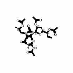 CC[C@H](OC(C)=O)[C@@H]1C[C@@H](OC(C)=O)[C@H](n2c(=O)n(C[C@@H](C)OC(C)=O)c3c(=O)[nH]c(NC(C)=O)nc32)O1